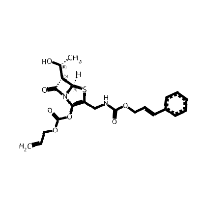 C=CCOC(=O)OC1=C(CNC(=O)OCC=Cc2ccccc2)S[C@@H]2[C@@H]([C@@H](C)O)C(=O)N12